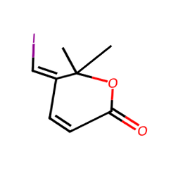 CC1(C)OC(=O)C=CC1=CI